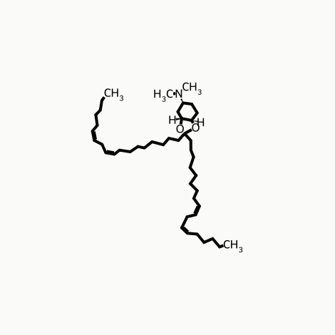 CCCCC/C=C\C/C=C\CCCCCCCCC1(CCCCCCCC/C=C\C/C=C\CCCCC)O[C@@H]2CC[C@@H](N(C)C)C[C@H]2O1